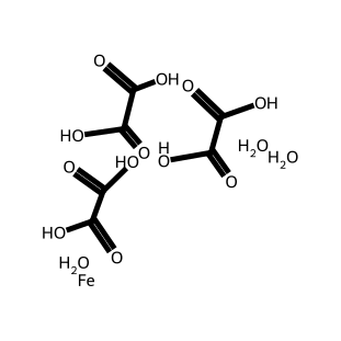 O.O.O.O=C(O)C(=O)O.O=C(O)C(=O)O.O=C(O)C(=O)O.[Fe]